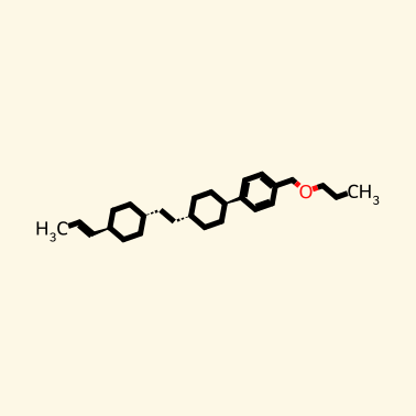 CC=C[C@H]1CC[C@H](CC[C@H]2CC[C@H](c3ccc(COCCC)cc3)CC2)CC1